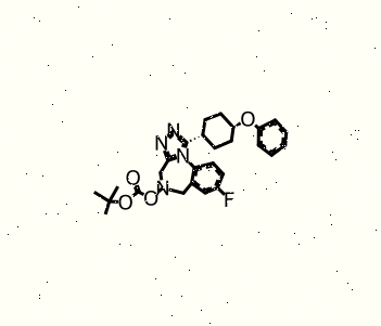 CC(C)(C)OC(=O)ON1Cc2cc(F)ccc2-n2c(nnc2[C@H]2CC[C@H](Oc3ccccc3)CC2)C1